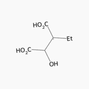 CC[C](C(=O)O)C(O)C(=O)O